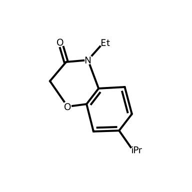 CCN1C(=O)COc2cc(C(C)C)ccc21